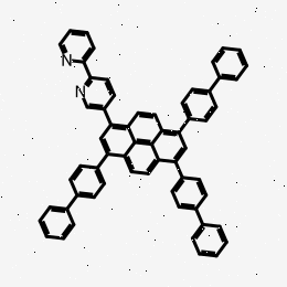 c1ccc(-c2ccc(-c3cc(-c4ccc(-c5ccccc5)cc4)c4ccc5c(-c6ccc(-c7ccccn7)nc6)cc(-c6ccc(-c7ccccc7)cc6)c6ccc3c4c65)cc2)cc1